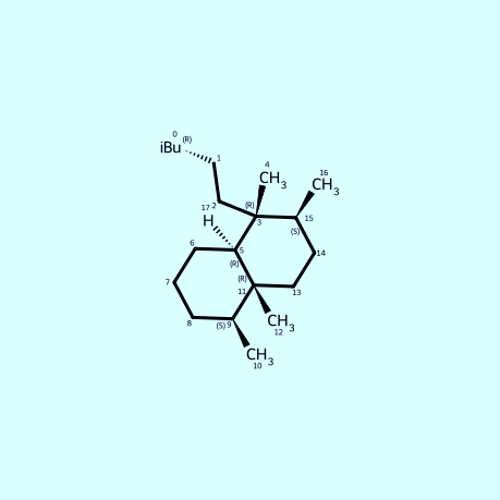 CC[C@@H](C)CC[C@@]1(C)[C@@H]2CCC[C@H](C)[C@@]2(C)CC[C@@H]1C